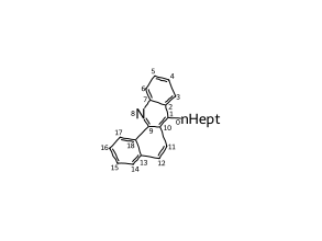 CCCCCCCc1c2ccccc2nc2c1ccc1ccccc12